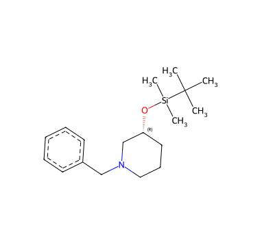 CC(C)(C)[Si](C)(C)O[C@@H]1CCCN(Cc2ccccc2)C1